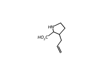 C=CCC1CCNC1C(=O)O